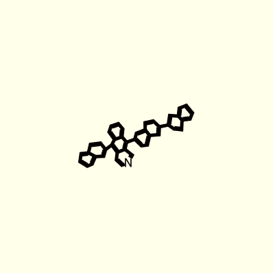 c1ccc2cc(-c3ccc4cc(-c5c6ccccc6c(-c6ccc7ccccc7c6)c6ccncc56)ccc4c3)ccc2c1